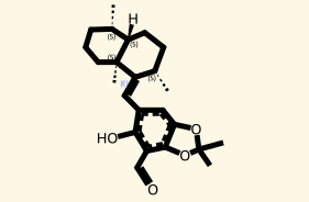 C[C@H]1CC[C@H]2[C@@H](C)CCC[C@]2(C)/C1=C/c1cc2c(c(C=O)c1O)OC(C)(C)O2